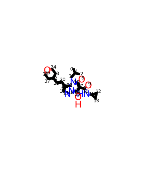 CC(C)Cn1c(=O)c(C(=O)NC2CC2)c(O)n2ncc(C=CC3CCOCC3)c12